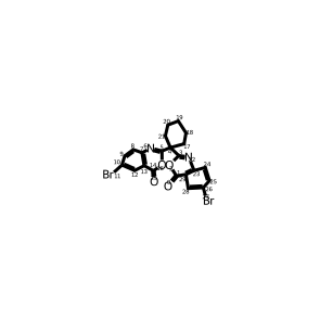 O=c1oc(C2(c3nc4ccc(Br)cc4c(=O)o3)CCCCC2)nc2ccc(Br)cc12